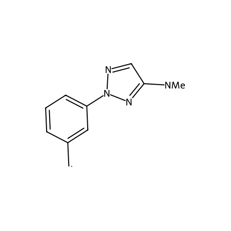 [CH2]c1cccc(-n2ncc(NC)n2)c1